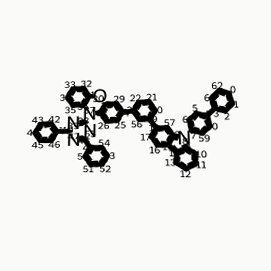 c1ccc(-c2ccc(-n3c4ccccc4c4ccc(-c5cccc(-c6ccc7c(c6)Oc6ccccc6N7c6nc(-c7ccccc7)nc(-c7ccccc7)n6)c5)cc43)cc2)cc1